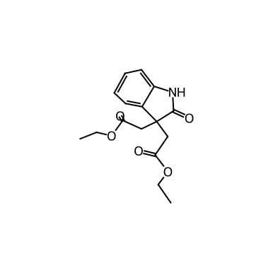 CCOC(=O)CC1(CC(=O)OCC)C(=O)Nc2ccccc21